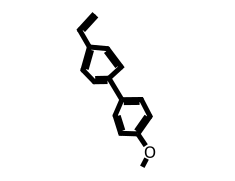 C=Cc1ccc(-c2ccc(OC)cc2)cc1